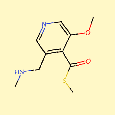 CNCc1cncc(OC)c1C(=O)SC